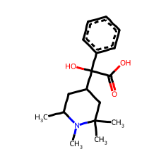 CC1CC(C(O)(C(=O)O)c2ccccc2)CC(C)(C)N1C